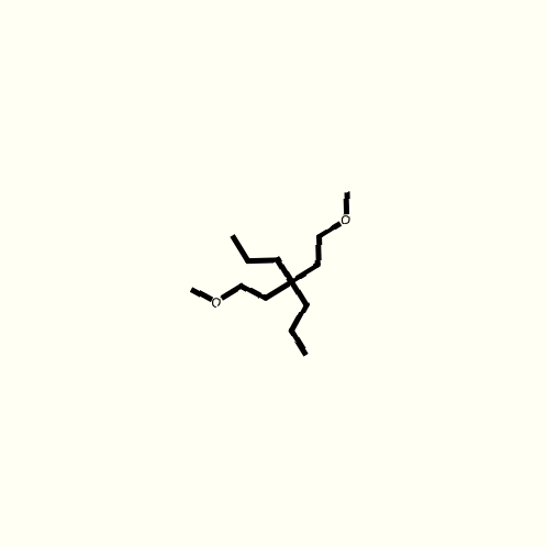 CCCC(CCC)(CCOC)CCOC